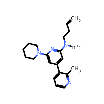 C=CCCN(CCC)c1cc(-c2cccnc2C)cc(N2CCCCC2)n1